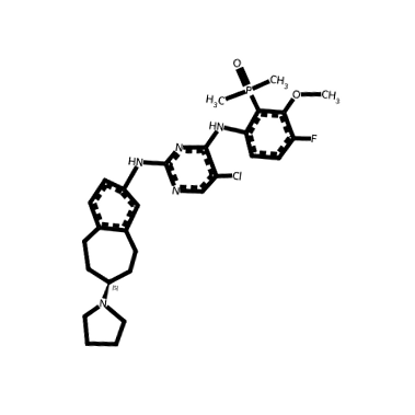 COc1c(F)ccc(Nc2nc(Nc3ccc4c(c3)CC[C@@H](N3CCCC3)CC4)ncc2Cl)c1P(C)(C)=O